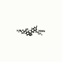 COC[C@@H](C)Oc1cc(F)cc2ccc(-c3nnc4ccc([C@@H](N5CC[C@H](N)C5)C(F)(F)F)cn34)nc12